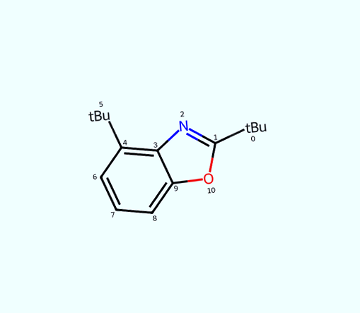 CC(C)(C)c1nc2c(C(C)(C)C)cccc2o1